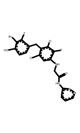 CC(C)c1c(O)ccc(Cc2c(Cl)cc(NCC(=O)Nc3cccnn3)c(F)c2Cl)c1F